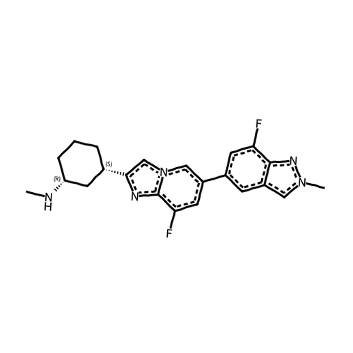 CN[C@@H]1CCC[C@H](c2cn3cc(-c4cc(F)c5nn(C)cc5c4)cc(F)c3n2)C1